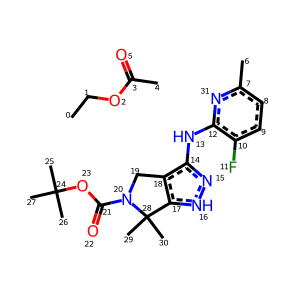 CCOC(C)=O.Cc1ccc(F)c(Nc2n[nH]c3c2CN(C(=O)OC(C)(C)C)C3(C)C)n1